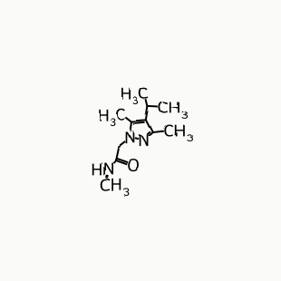 CNC(=O)Cn1nc(C)c(C(C)C)c1C